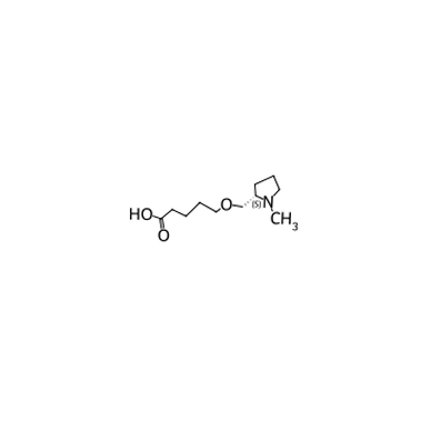 CN1CCC[C@H]1COCCCCC(=O)O